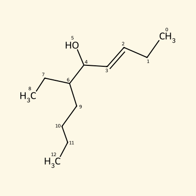 CCC=CC(O)C(CC)CCCC